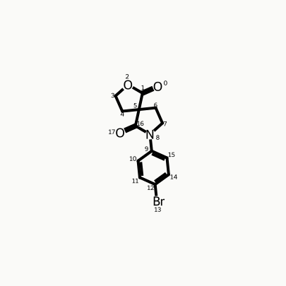 O=C1OCCC12CCN(c1ccc(Br)cc1)C2=O